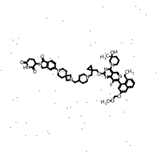 CCc1cccc2cc(OCOC)cc(-c3ncc4c(N5CCC[C@@](C)(O)C5)nc(OCC5(CN6CCC(CN7CC8(CCN(c9ccc%10c(c9)CN(C9CCC(=O)NC9=O)C%10=O)CC8)C7)CC6)CC5)nc4c3F)c12